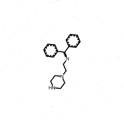 c1ccc(C(=NCCN2CCNCC2)c2ccccc2)cc1